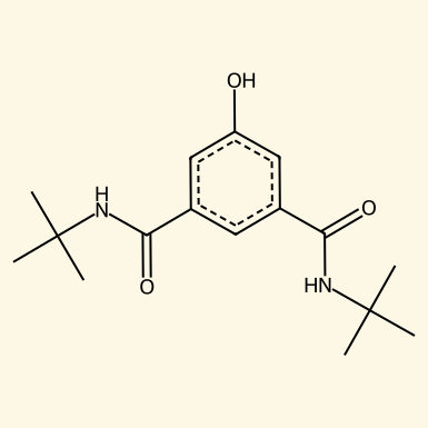 CC(C)(C)NC(=O)c1cc(O)cc(C(=O)NC(C)(C)C)c1